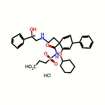 Cl.O=C(O)CCS(=O)(=O)NC(=O)C1(CCNC[C@H](O)c2ccccc2)C=CC(c2ccccc2)C=C1OC1CCCCC1